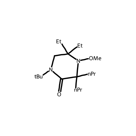 CCCC1(CCC)C(=O)N(C(C)(C)C)CC(CC)(CC)N1OC